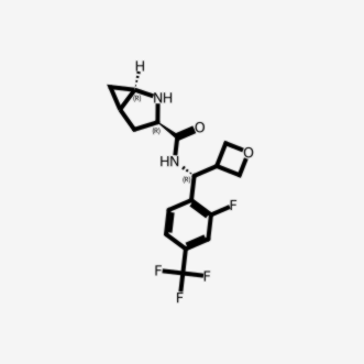 O=C(N[C@@H](c1ccc(C(F)(F)F)cc1F)C1COC1)[C@H]1CC2C[C@H]2N1